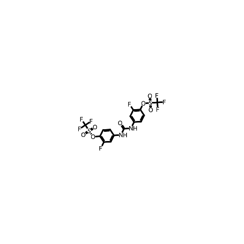 O=C(Nc1ccc(OS(=O)(=O)C(F)(F)F)c(F)c1)Nc1ccc(OS(=O)(=O)C(F)(F)F)c(F)c1